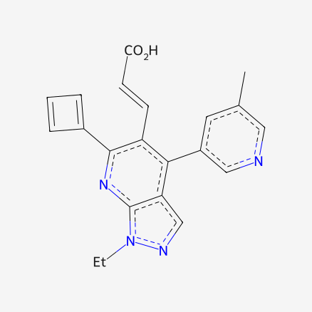 CCn1ncc2c(-c3cncc(C)c3)c(C=CC(=O)O)c(C3=CC=C3)nc21